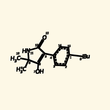 CCC(C)c1ccc(C2=C(O)C(C)(C)NC2=O)cc1